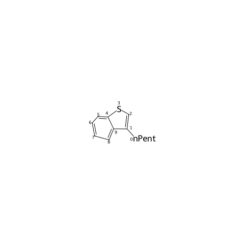 CCCCCc1csc2ccccc12